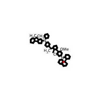 C=Cc1c(C(=C)c2ccc(N(c3ccccc3)c3ccc4c(c3)C(C)(C)c3ccccc3-4)cc2)cccc1-c1ccc(N(c2ccccc2)c2ccccc2-c2ccccc2)cc1OC